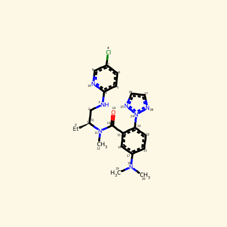 CC[C@@H](CNc1ccc(Cl)cn1)N(C)C(=O)c1cc(N(C)C)ccc1-n1nccn1